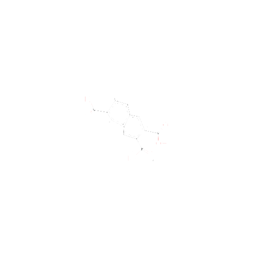 O=C(O)c1[c]cc2cc(C(=O)O)c(C(=O)O)cc2c1